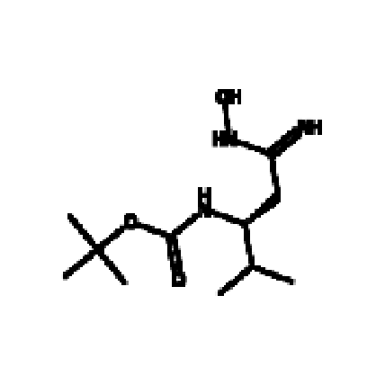 CC(C)[C@H](CC(=N)NO)NC(=O)OC(C)(C)C